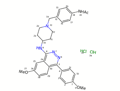 COc1ccc(-c2nnc(NC3CCN(Cc4ccc(NC(C)=O)cc4)CC3)c3cc(OC)ccc23)cc1.Cl.Cl